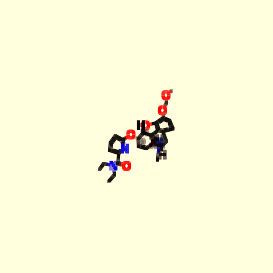 CCN(CC)C(=O)c1cccc(O[C@H]2C=C[C@H]3[C@H]4Cc5ccc(OCOC)c6c5[C@@]3(CCN4C)[C@H]2O6)n1